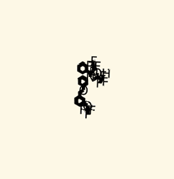 OC(CN(c1cccc(OCc2cccc(OC(F)(F)F)c2)c1)C(OC(F)(F)F)C1CCCCC1)C(F)(F)F